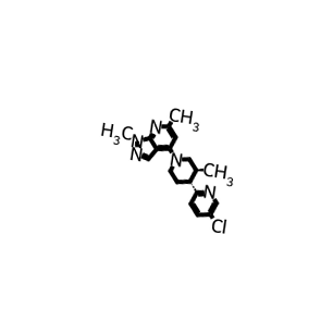 Cc1cc(N2CC[C@@H](c3ccc(Cl)cn3)[C@H](C)C2)c2cnn(C)c2n1